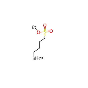 CCCCCCCCCCS(=O)(=O)OCC